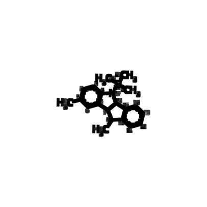 Cc1ccc2c(c1)C1C(C)c3ccccc3C1N2[Si](C)(C)C